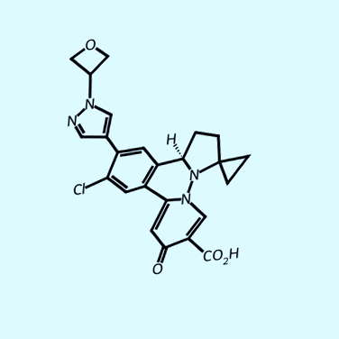 O=C(O)c1cn2c(cc1=O)-c1cc(Cl)c(-c3cnn(C4COC4)c3)cc1[C@H]1CCC3(CC3)N12